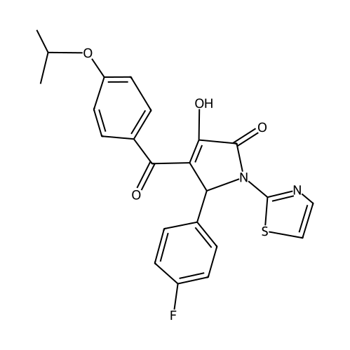 CC(C)Oc1ccc(C(=O)C2=C(O)C(=O)N(c3nccs3)C2c2ccc(F)cc2)cc1